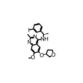 COc1cc2nc(C)nc(N[C@H](C)c3cccc(I)c3)c2cc1O[C@H]1CCOC1